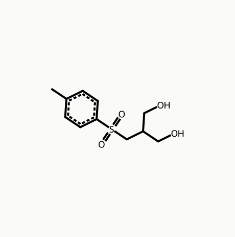 Cc1ccc(S(=O)(=O)CC(CO)CO)cc1